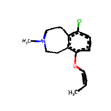 C/C=C\Oc1ccc(Cl)c2c1CCN(C)CC2